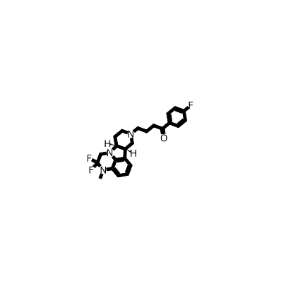 CN1c2cccc3c2N(CC1(F)F)[C@H]1CCN(CCCC(=O)c2ccc(F)cc2)C[C@@H]31